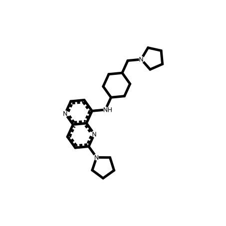 c1cc(NC2CCC(CN3CCCC3)CC2)c2nc(N3CCCC3)ccc2n1